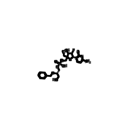 Nc1ccn([C@@H]2O[C@](CCl)(COP(=O)(O)OC[C@H](CO)OCc3ccccc3)[C@@H](O)[C@H]2F)c(=O)n1